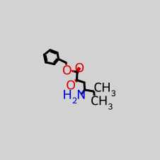 CC(C)C(N)CC(=O)C(=O)OCc1ccccc1